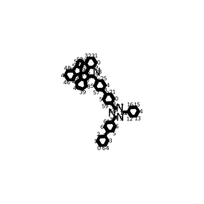 c1ccc(-c2ccc(-c3nc(-c4ccccc4)nc(-c4ccc(-c5ccc(-c6nc7ccccc7c7c6-c6ccccc6C76c7ccccc7-c7ccccc76)cc5)cc4)n3)cc2)cc1